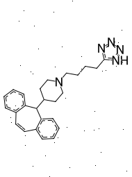 C1=Cc2ccccc2C(C2CCN(CCCCc3nnn[nH]3)CC2)c2ccccc21